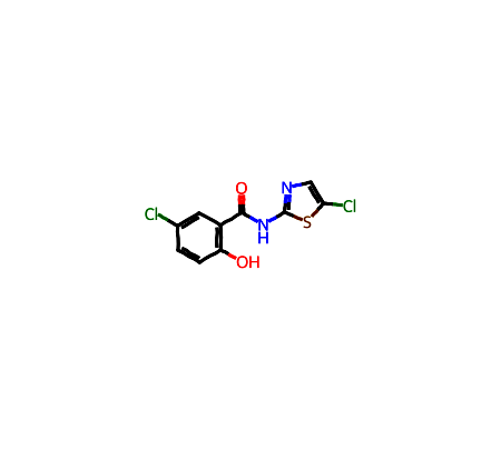 O=C(Nc1ncc(Cl)s1)c1cc(Cl)ccc1O